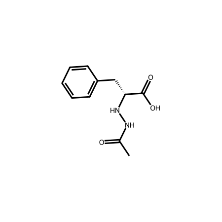 CC(=O)NN[C@H](Cc1ccccc1)C(=O)O